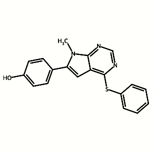 Cn1c(-c2ccc(O)cc2)cc2c(Sc3ccccc3)ncnc21